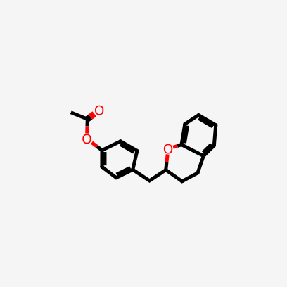 CC(=O)Oc1ccc(CC2CCc3ccccc3O2)cc1